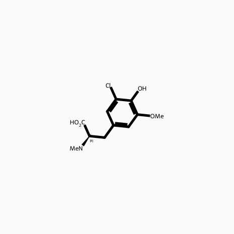 CN[C@H](Cc1cc(Cl)c(O)c(OC)c1)C(=O)O